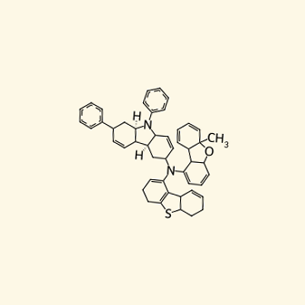 CC12C=CC=CC1C1C(N(C3=CCCC4=C3C3C=CCCC3S4)C3C=CC4[C@@H](C3)C3C=CC(c5ccccc5)C[C@H]3N4c3ccccc3)=CC=CC1O2